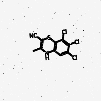 CC1=C(C#N)Sc2c(cc(Cl)c(Cl)c2Cl)N1